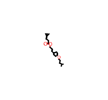 CC(C)CCCOc1ccc(C=CCOC(=O)CCC2CC2)cc1